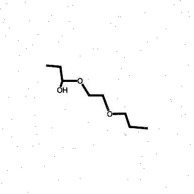 CCCOCCOC(O)CC